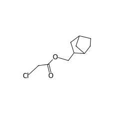 O=C(CCl)OCC1CC2CCC1C2